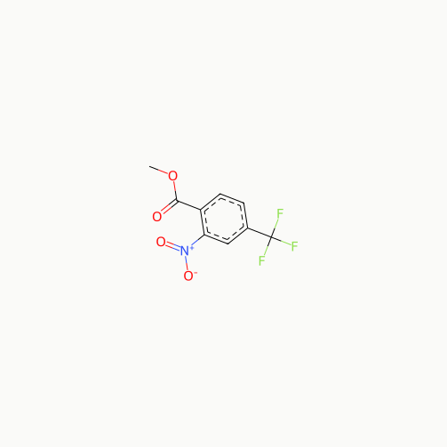 COC(=O)c1ccc(C(F)(F)F)cc1[N+](=O)[O-]